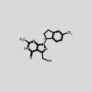 Cc1nc2c(c(CO)nn2[C@H]2CCc3cc(C(F)(F)F)ccc32)c(=O)[nH]1